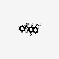 COc1ccnc2c1C(=O)C(C(=N)c1ccccc1)=C(O)C2=O